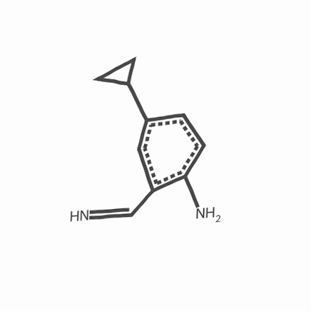 N=Cc1cc(C2CC2)ccc1N